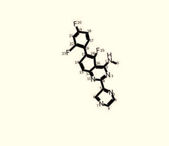 CNc1nc(-c2cnccn2)nc2ccc(-c3ccc(F)cc3F)c(F)c12